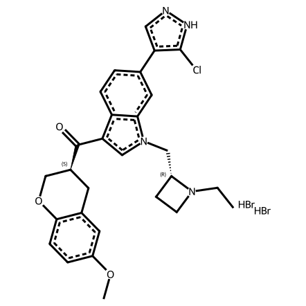 Br.Br.CCN1CC[C@@H]1Cn1cc(C(=O)[C@@H]2COc3ccc(OC)cc3C2)c2ccc(-c3cn[nH]c3Cl)cc21